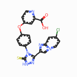 O=C(O)c1cc(Oc2ccc(-n3c(-c4cn5ccc(Cl)cc5n4)n[nH]c3=S)cc2)ccn1